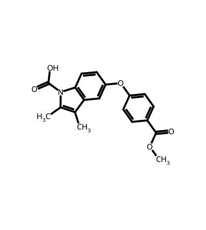 COC(=O)c1ccc(Oc2ccc3c(c2)c(C)c(C)n3C(=O)O)cc1